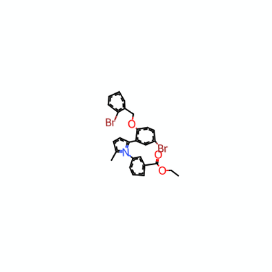 CCOC(=O)c1cccc(-n2c(C)ccc2-c2cc(Br)ccc2OCc2ccccc2Br)c1